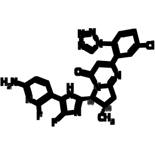 C[C@H]1Cc2nc(-c3cc(Cl)ccc3-n3cnnn3)cc(=O)n2[C@@H]1c1nc(F)c(-c2ccc(N)nc2F)[nH]1